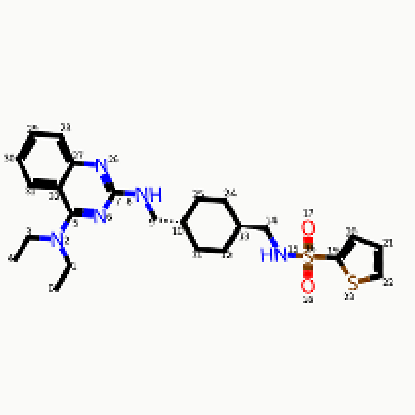 CCN(CC)c1nc(NC[C@H]2CC[C@H](CNS(=O)(=O)c3cccs3)CC2)nc2ccccc12